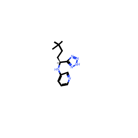 CC(C)(C)CC[C@H](Nc1cccnc1)c1nn[nH]n1